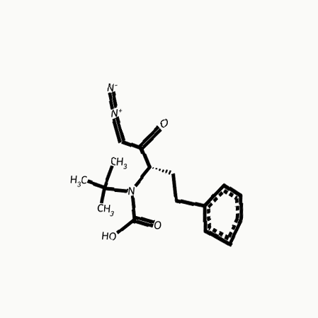 CC(C)(C)N(C(=O)O)[C@@H](CCc1ccccc1)C(=O)C=[N+]=[N-]